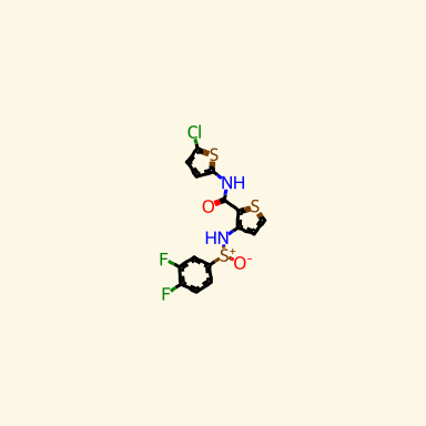 O=C(Nc1ccc(Cl)s1)c1sccc1N[S+]([O-])c1ccc(F)c(F)c1